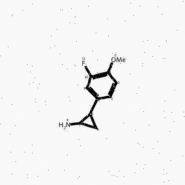 COc1ccc(C2CC2N)cc1F